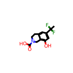 CC(F)(F)c1cc(O)c2c(c1)CCN(C(=O)O)C2